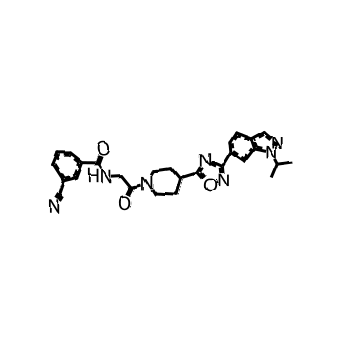 CC(C)n1ncc2ccc(-c3noc(C4CCN(C(=O)CNC(=O)c5cccc(C#N)c5)CC4)n3)cc21